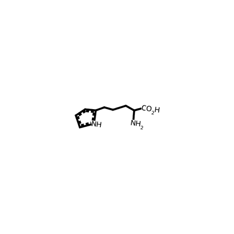 NC(CCCc1ccc[nH]1)C(=O)O